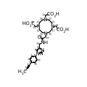 CC#Cc1ccc(-n2cc(CNC(=O)CN3CCN(CC(=O)O)CCN(CC(=O)O)CCN(CC(=O)O)CC3)nn2)cc1